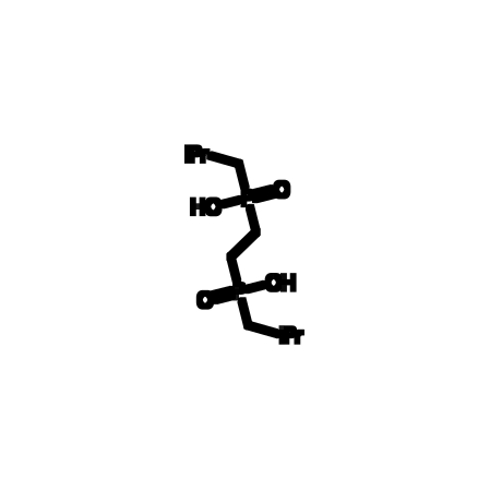 CC(C)CP(=O)(O)CCP(=O)(O)CC(C)C